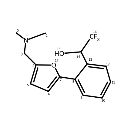 CN(C)Cc1ccc(-c2ccccc2C(O)C(F)(F)F)o1